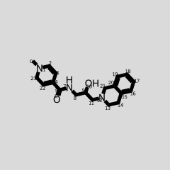 CN1C=CC(C(=O)NCC(O)CN2CCc3ccccc3C2)=CC1